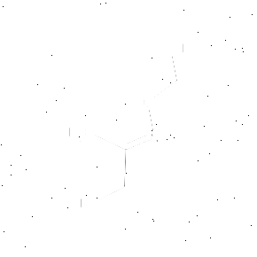 [CH2]/C(CC)=N\OCC